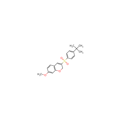 COc1ccc2c(c1)OCC(S(=O)(=O)c1ccc(C(C)(C)C)cc1)=C2